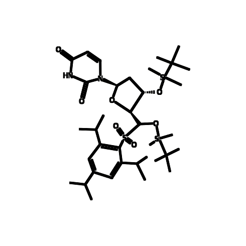 CC(C)c1cc(C(C)C)c(S(=O)(=O)C(O[Si](C)(C)C(C)(C)C)[C@H]2O[C@@H](n3ccc(=O)[nH]c3=O)C[C@@H]2O[Si](C)(C)C(C)(C)C)c(C(C)C)c1